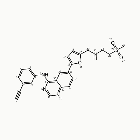 C#Cc1cccc(Nc2ncnc3ccc(-c4ccc(CNCCS(C)(=O)=O)o4)cc23)c1